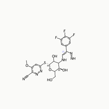 COc1cc(S[C@H]2OC(CO)[C@H](O)C(N/C=C(\N=N)c3cc(F)c(F)c(F)c3)C2O)nnc1C#N